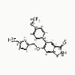 Cn1ccc(COc2cc3c(cc2-c2ccc(OC(F)(F)F)cc2)C(=O)NC3)n1